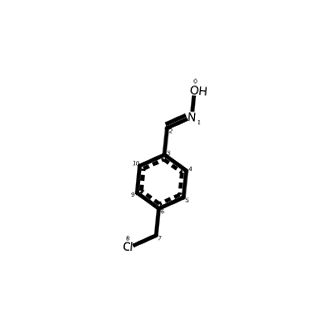 ON=Cc1ccc(CCl)cc1